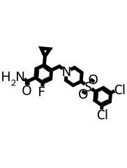 NC(=O)c1cc(C2CC2)c(CN2CCC(S(=O)(=O)c3cc(Cl)cc(Cl)c3)CC2)cc1F